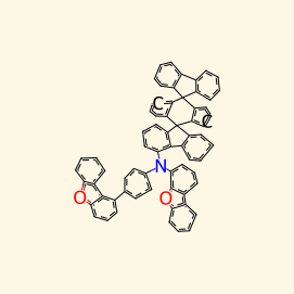 c1ccc2c(c1)-c1ccccc1C21c2ccccc2C2(c3ccccc3-c3c(N(c4ccc(-c5cccc6oc7ccccc7c56)cc4)c4cccc5c4oc4ccccc45)cccc32)c2ccccc21